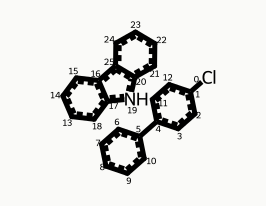 Clc1ccc(-c2ccccc2)cc1.c1ccc2c(c1)[nH]c1ccccc12